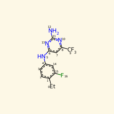 CCc1ccc(Nc2cc(C(F)(F)F)nc(N)n2)cc1F